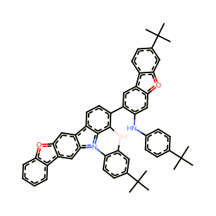 CC(C)(C)c1ccc(Nc2cc3oc4cc(C(C)(C)C)ccc4c3cc2-c2ccc3c4cc5oc6ccccc6c5cc4n4c3c2Bc2cc(C(C)(C)C)ccc2-4)cc1